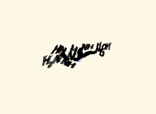 N=C/C(C#CCNC(=O)O)=C\NC(=N)C(=N)N